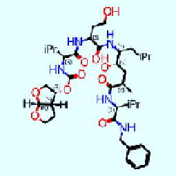 CC(C)C[C@H](NC(=O)[C@H](CCO)NC(=O)[C@@H](NC(=O)O[C@H]1CO[C@H]2OCC[C@H]21)C(C)C)[C@@H](O)C[C@@H](C)C(=O)N[C@H](C(=O)NCc1ccccc1)C(C)C